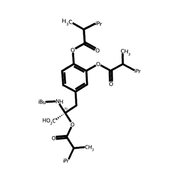 CCC(C)N[C@@](Cc1ccc(OC(=O)C(C)C(C)C)c(OC(=O)C(C)C(C)C)c1)(OC(=O)C(C)C(C)C)C(=O)O